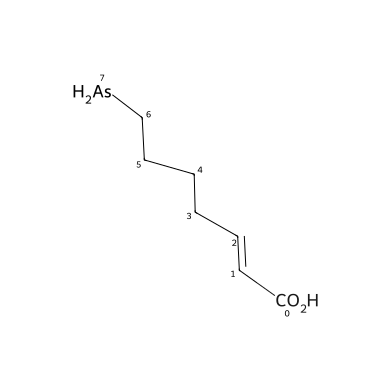 O=C(O)/C=C/CCCC[AsH2]